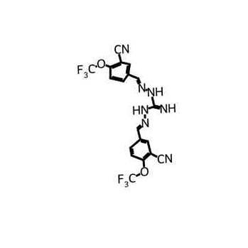 N#Cc1cc(/C=N/NC(=N)N/N=C/c2ccc(OC(F)(F)F)c(C#N)c2)ccc1OC(F)(F)F